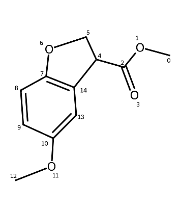 COC(=O)C1COc2ccc(OC)cc21